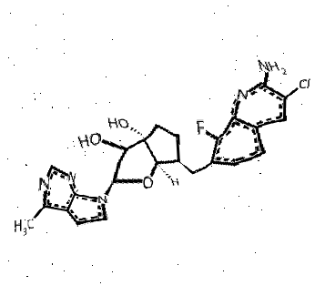 Cc1ncnc2c1ccn2[C@@H]1O[C@@H]2[C@H](Cc3ccc4cc(Cl)c(N)nc4c3F)CC[C@]2(O)C1O